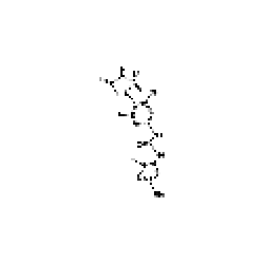 Cn1nc(C(C)(C)C)cc1NC(=O)Nc1cc(O)c(N2CC(=O)NS2(=O)=O)c(F)c1